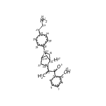 C=C(C(=O)c1ccccc1O)N1CC2C[C@H]1CN2c1ccc(CCN)cc1